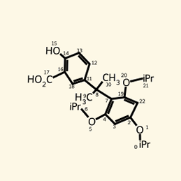 CC(C)Oc1cc(OC(C)C)c(C(C)(C)c2ccc(O)c(C(=O)O)c2)c(OC(C)C)c1